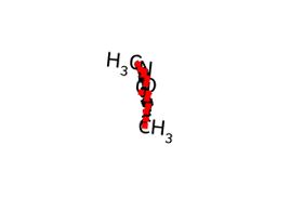 CCCCCCCc1ccc(-c2ccc(OC(=O)C3CCC(C#N)(CCCCC)CC3)cc2)cc1